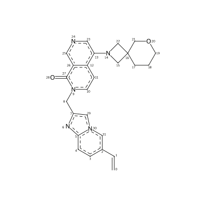 C=Cc1ccc2nc(Cn3ccc4c(N5CC6(CCCOC6)C5)cncc4c3=O)cn2c1